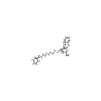 CC(=O)SCC(Cc1ccccc1)NC(=O)CCCCCCCCCCOc1ccccc1